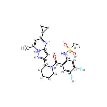 Cc1cc(C2CC2)nc2cc([C@@H]3CCCCN3C(=O)c3cc(F)c(F)cc3NS(C)(=O)=O)nn12